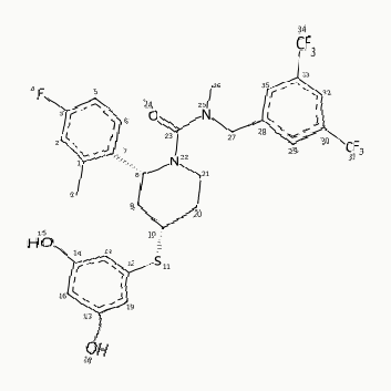 Cc1cc(F)ccc1[C@H]1C[C@@H](Sc2cc(O)cc(O)c2)CCN1C(=O)N(C)Cc1cc(C(F)(F)F)cc(C(F)(F)F)c1